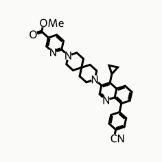 COC(=O)c1ccc(N2CCC3(CC2)CCN(c2cnc4c(-c5ccc(C#N)cc5)cccc4c2C2CC2)CC3)nc1